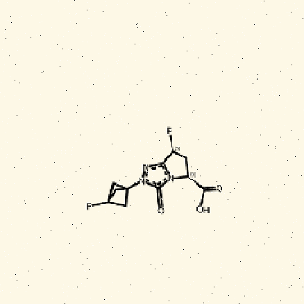 O=C(O)[C@@H]1C[C@H](F)c2nn(C34CC(F)(C3)C4)c(=O)n21